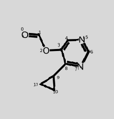 O=COc1cncnc1C1CC1